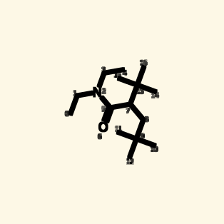 CCN(CC)C(=O)C(CC(C)(C)C)C(C)(C)C